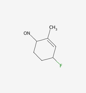 CC1=CC(F)CCC1N=O